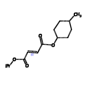 CC1CCC(OC(=O)/C=C/C(=O)OC(C)C)CC1